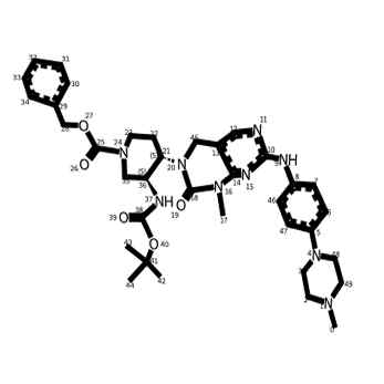 CN1CCN(c2ccc(Nc3ncc4c(n3)N(C)C(=O)N([C@H]3CCN(C(=O)OCc5ccccc5)C[C@@H]3NC(=O)OC(C)(C)C)C4)cc2)CC1